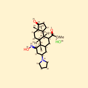 COC(=O)C1CC2CC(N3CCCC3)CC(=NO)[C@]2(C)[C@@H]2CC[C@]3(C)C(=O)CC[C@H]3[C@H]12.Cl